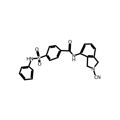 N#CN1Cc2cccc(NC(=O)c3ccc(S(=O)(=O)Nc4ccccc4)cc3)c2C1